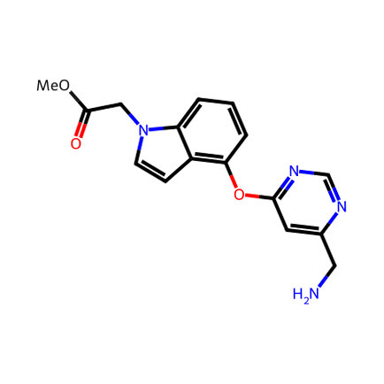 COC(=O)Cn1ccc2c(Oc3cc(CN)ncn3)cccc21